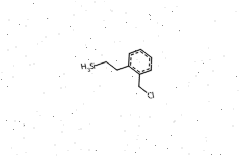 [SiH3]CCc1ccccc1CCl